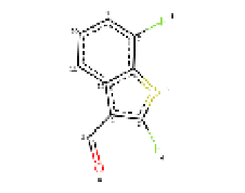 O=Cc1c(F)sc2c(F)cccc12